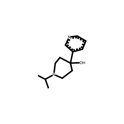 CC(C)N1CCC(O)(c2cccnc2)CC1